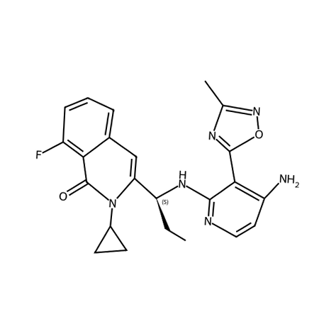 CC[C@H](Nc1nccc(N)c1-c1nc(C)no1)c1cc2cccc(F)c2c(=O)n1C1CC1